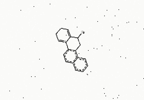 BrC1Cc2c(ccc3ccccc23)C2=CCCC=C21